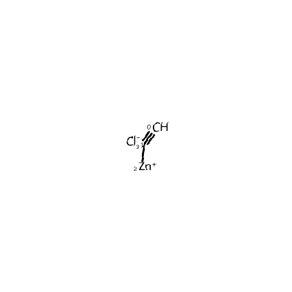 C#[C][Zn+].[Cl-]